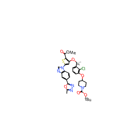 COC(=O)c1sc(-n2cnc3cc(-c4nnc(C)o4)ccc32)cc1O[C@H](C)c1cccc(OC2CCN(C(=O)OC(C)(C)C)CC2)c1Cl